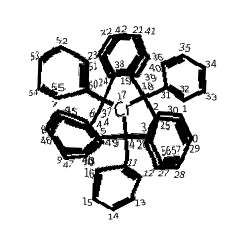 c1ccc([C](c2ccccc2)(c2ccccc2)[Cr]([C](c2ccccc2)(c2ccccc2)c2ccccc2)[C](c2ccccc2)(c2ccccc2)c2ccccc2)cc1